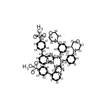 CS(=O)(=O)c1ccc(-c2cccn3nc(N(c4cccc(N5CCOCC5)c4)N(c4cccc(N5CCOCC5)c4)c4nc5c(-c6ccc(S(C)(=O)=O)cc6)cccn5n4)nc23)cc1